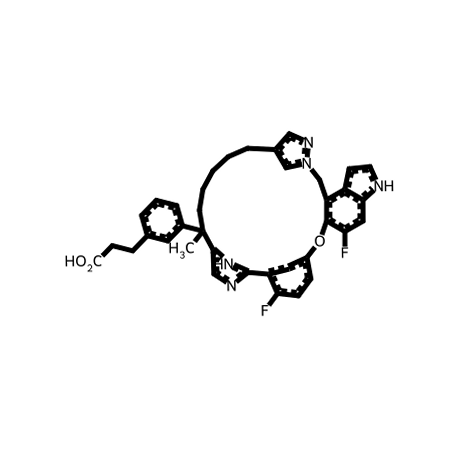 CC1(c2cccc(CCC(=O)O)c2)CCCCCc2cnn(c2)Cc2c(c(F)cc3[nH]ccc23)Oc2ccc(F)c(c2)-c2ncc1[nH]2